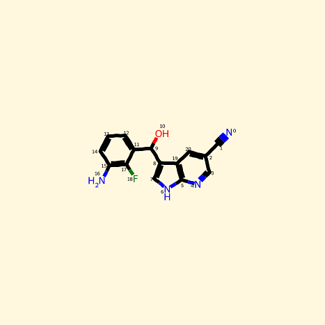 N#Cc1cnc2[nH]cc(C(O)c3cccc(N)c3F)c2c1